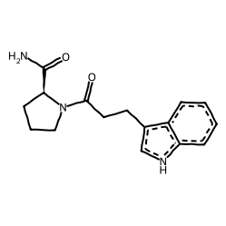 NC(=O)[C@@H]1CCCN1C(=O)CCc1c[nH]c2ccccc12